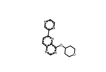 c1cnc(-c2ccc3ncnc(OC4CCOCC4)c3n2)cn1